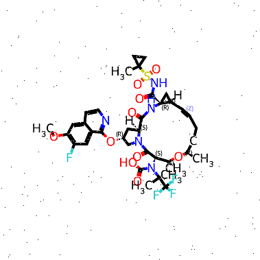 COc1cc2ccnc(O[C@@H]3C[C@H]4C(=O)N[C@]5(C(=O)NS(=O)(=O)C6(C)CC6)C[C@H]5/C=C\CC[C@@H](C)O[C@@H](C)[C@H](N(C(=O)O)C(C)(C)C(F)(F)F)C(=O)N4C3)c2cc1F